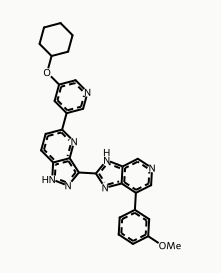 COc1cccc(-c2cncc3[nH]c(-c4n[nH]c5ccc(-c6cncc(OC7CCCCC7)c6)nc45)nc23)c1